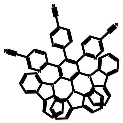 N#Cc1ccc(-c2c(-c3ccc(C#N)cn3)c(-n3c4ccccc4c4ccccc43)c(-n3c4ccccc4c4ccccc43)c(-n3c4ccccc4c4ccccc43)c2-c2ccc(C#N)cn2)nc1